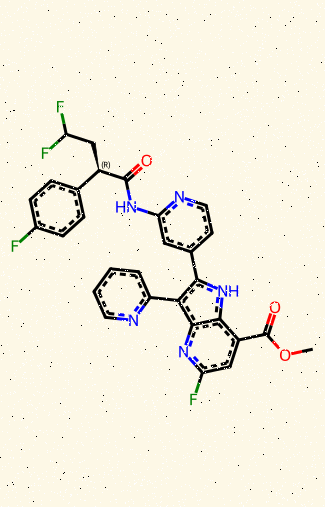 COC(=O)c1cc(F)nc2c(-c3ccccn3)c(-c3ccnc(NC(=O)[C@H](CC(F)F)c4ccc(F)cc4)c3)[nH]c12